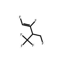 FC=C(F)C(CF)C(F)(F)F